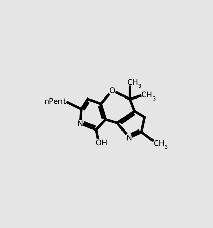 CCCCCc1cc2c(c(O)n1)C1=C(CC(C)=N1)C(C)(C)O2